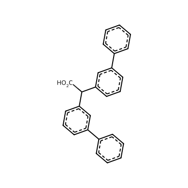 O=C(O)C(c1cccc(-c2ccccc2)c1)c1cccc(-c2ccccc2)c1